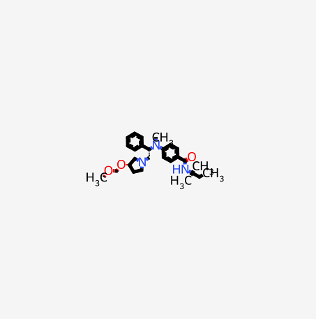 CCC(C)(C)NC(=O)c1ccc(N(C)[C@H](CN2CC[C@H](OCOC)C2)c2ccccc2)cc1